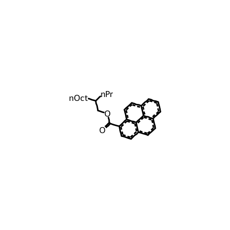 CCCCCCCCC(CCC)COC(=O)c1ccc2ccc3cccc4ccc1c2c34